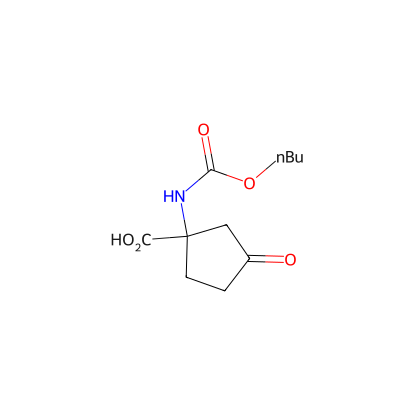 CCCCOC(=O)NC1(C(=O)O)CCC(=O)C1